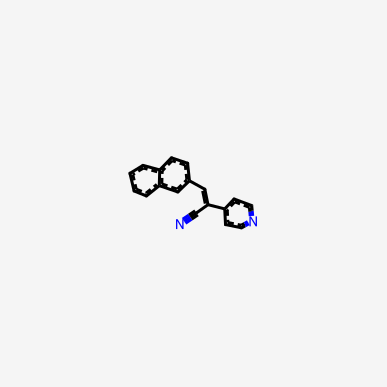 N#CC(=Cc1ccc2ccccc2c1)c1ccncc1